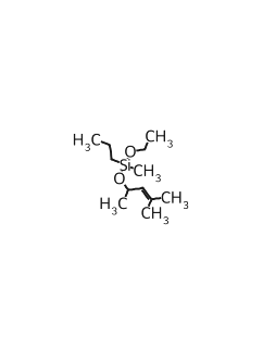 CCC[Si](C)(OCC)OC(C)C=C(C)C